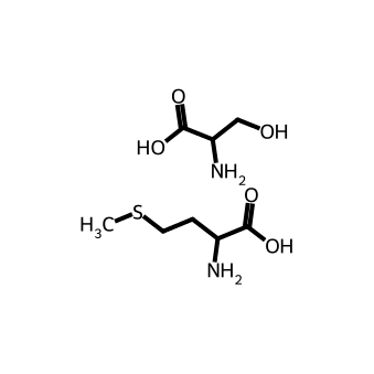 CSCCC(N)C(=O)O.NC(CO)C(=O)O